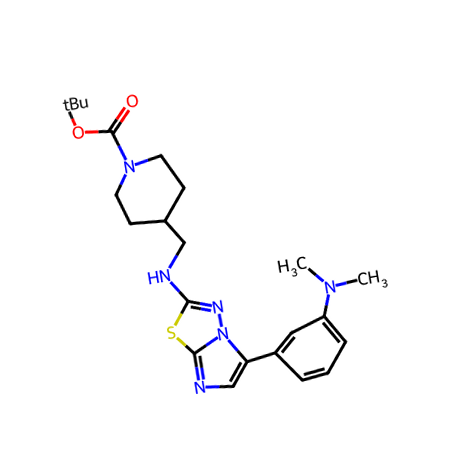 CN(C)c1cccc(-c2cnc3sc(NCC4CCN(C(=O)OC(C)(C)C)CC4)nn23)c1